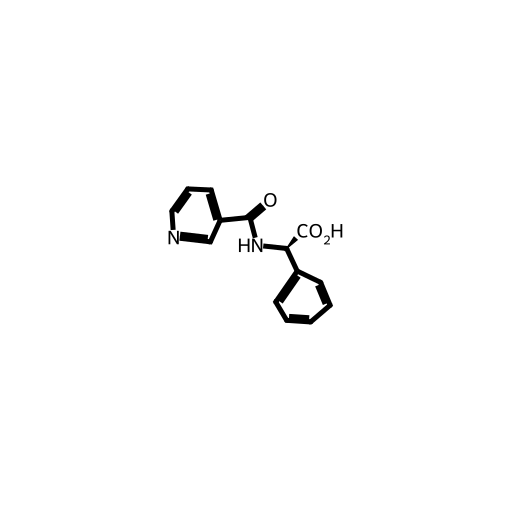 O=C(N[C@@H](C(=O)O)c1ccccc1)c1cccnc1